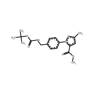 COC(=O)c1cc(C)nn1-c1ccc(CNC(=O)OC(C)(C)C)cc1